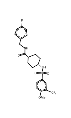 COc1ccc(S(=O)(=O)N[C@H]2CC[C@H](C(=O)NCc3ccc(F)cc3)CC2)cc1C(F)(F)F